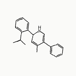 CC1=CC(c2ccccc2C(C)C)NC=C1c1ccccc1